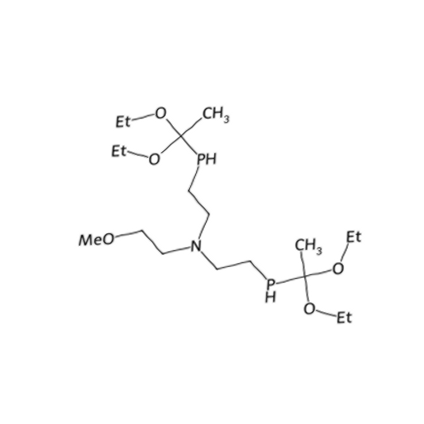 CCOC(C)(OCC)PCCN(CCOC)CCPC(C)(OCC)OCC